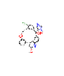 COc1cc2c3cc(ccc3n1)C(O)(c1cncn1C)c1ccc(Cl)c(c1)CCOc1cccc-2c1